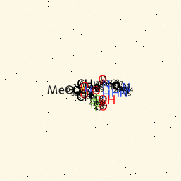 COc1cc(C)c(S(=O)(=O)N(Cc2cc(C(=O)NCc3ccc(C4=NCCN4)cc3)co2)C2CC2)c(C)c1.O=C(O)C(F)(F)F